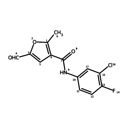 Cc1oc(C=O)cc1C(=O)Nc1ccc(F)c(Cl)c1